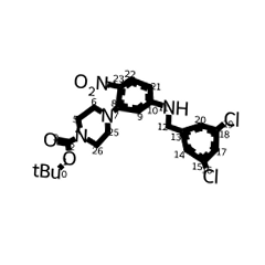 CC(C)(C)OC(=O)N1CCN(c2cc(NCc3cc(Cl)cc(Cl)c3)ccc2[N+](=O)[O-])CC1